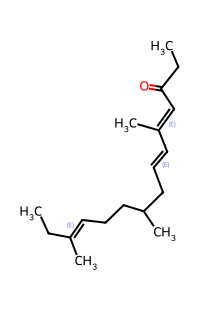 CCC(=O)/C=C(C)/C=C/CC(C)CC/C=C(\C)CC